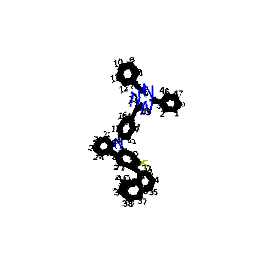 c1ccc(-c2nc(-c3ccccc3)nc(-c3ccc(-n4c5ccccc5c5cc6c(cc54)sc4ccc5ccccc5c46)cc3)n2)cc1